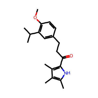 COc1ccc(CCC(=O)c2[nH]c(C)c(C)c2C)cc1C(C)C